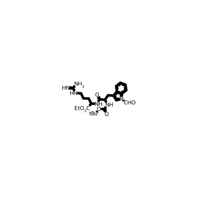 CCOC(=O)C(CCCNC(=N)N)NC(=O)C(Cc1cn(C=O)c2ccccc12)NC(=O)OC(C)(C)C